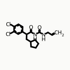 C=CCNC(=O)NC(=O)C(CC1CCCC1)c1ccc(Cl)c(Cl)c1